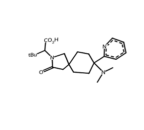 CN(C)C1(c2ccccn2)CCC2(CC1)CC(=O)N(C(C(=O)O)C(C)(C)C)C2